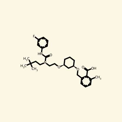 Cc1cccc(CO[C@@H]2CCC[C@H](OCCN(CCC(C)(C)C)C(=O)Nc3cccc(F)c3)C2)c1C(=O)O